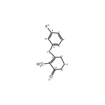 CC1=C(Sc2cccc(F)c2)CCCC1=O